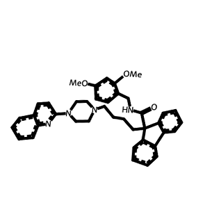 COc1ccc(CNC(=O)C2(CCCCN3CCN(c4ccc5ccccc5n4)CC3)c3ccccc3-c3ccccc32)c(OC)c1